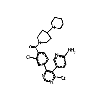 CCc1ncnc(-c2ccc(C(=O)N3CCC(N4CCCCC4)CC3)c(Cl)c2)c1-c1ccc(N)nc1